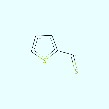 S=[C]c1cccs1